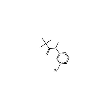 CN(C(=O)C(C)(C)C)c1cccc(N)c1